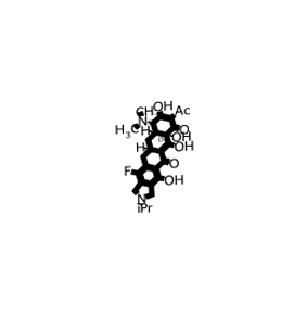 CC(=O)C1=C(O)[C@@H](N(C)C)[C@@H]2C[C@@H]3Cc4c(F)c5c(c(O)c4C(=O)C3=C(O)[C@]2(O)C1=O)CN(C(C)C)C5